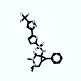 COCC1C(c2ccccc2)C1(NS(=O)(=O)C1CC=C(c2cc(C(F)(F)F)on2)S1)C(=O)N(C)OC